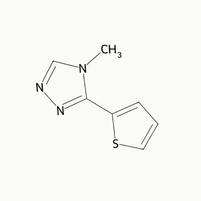 Cn1cnnc1-c1cccs1